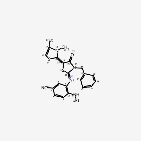 CCNc1ccc(C#N)cc1/N=C1\S/C(=C2\SC=C(CC)N2C)C(=O)N1Cc1ccccc1